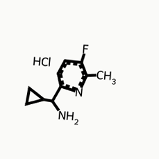 Cc1nc(C(N)C2CC2)ccc1F.Cl